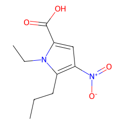 CCCc1c([N+](=O)[O-])cc(C(=O)O)n1CC